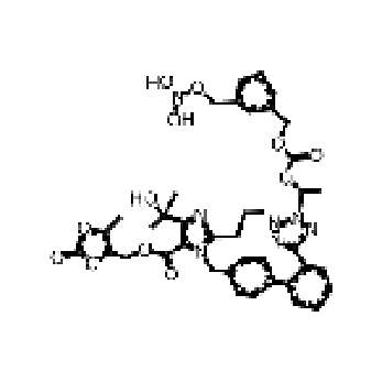 CCCc1nc(C(C)(C)O)c(C(=O)OCc2oc(=O)oc2C)n1Cc1ccc(-c2ccccc2-c2nnn(C(C)OC(=O)OCc3cccc(CON(O)O)c3)n2)cc1